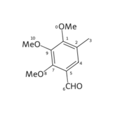 COc1c(C)cc(C=O)c(OC)c1OC